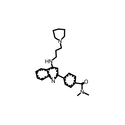 CN(C)C(=O)c1ccc(-c2cc(NCCCN3CCCCC3)c3ccccc3n2)cc1